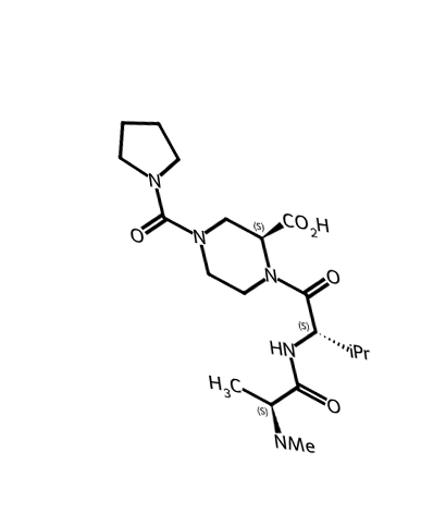 CN[C@@H](C)C(=O)N[C@H](C(=O)N1CCN(C(=O)N2CCCC2)C[C@H]1C(=O)O)C(C)C